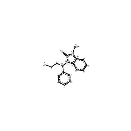 CCCn1c(=O)n([C@H](CCCl)c2ccccc2)c2ccccc21